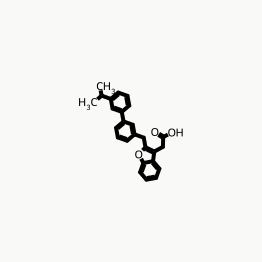 CC(C)c1cccc(-c2cccc(Cc3oc4ccccc4c3CC(=O)O)c2)c1